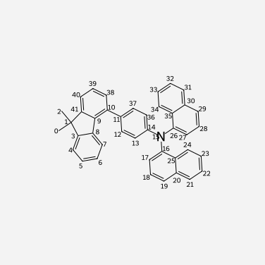 CC1(C)c2ccccc2-c2c(-c3ccc(N(c4cccc5ccccc45)c4cccc5ccccc45)cc3)cccc21